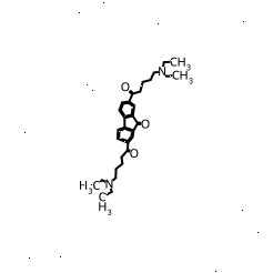 CCN(CC)CCCCC(=O)c1ccc2c(c1)C(=O)c1cc(C(=O)CCCCN(CC)CC)ccc1-2